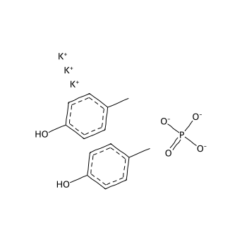 Cc1ccc(O)cc1.Cc1ccc(O)cc1.O=P([O-])([O-])[O-].[K+].[K+].[K+]